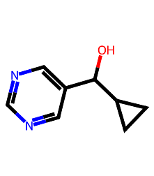 OC(c1cncnc1)C1CC1